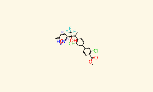 C=C(/C=C\C(=C/N)[C@@](O)([C@@H](C)c1ccc(-c2ccc(C(=O)OC)c(Cl)c2)cc1Cl)C(F)(F)F)OC